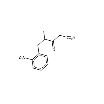 CC(Cc1ccccc1[N+](=O)[O-])C(=O)CC(=O)O